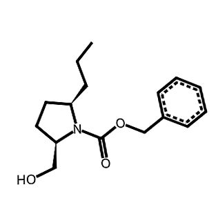 CCC[C@@H]1CC[C@H](CO)N1C(=O)OCc1ccccc1